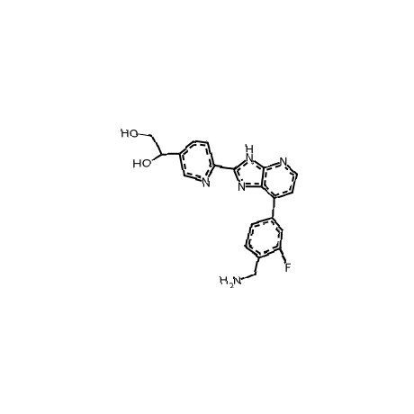 NCc1ccc(-c2ccnc3[nH]c(-c4ccc(C(O)CO)cn4)nc23)cc1F